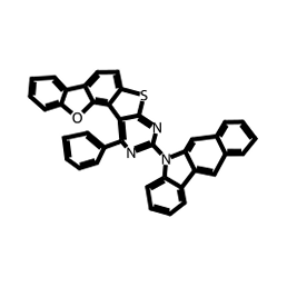 c1ccc(-c2nc(-n3c4ccccc4c4cc5ccccc5cc43)nc3sc4ccc5c6ccccc6oc5c4c23)cc1